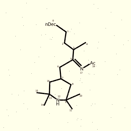 CCCCCCCCCCCCC(C)C(CC1CC(C)(C)NC(C)(C)C1)=NC(C)=O